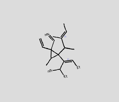 C=CC1(C=N)C(C)C1(/C(=C/CC)C(CC)CCC)C(C)/C(C)=C/C